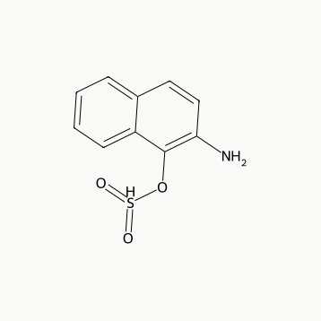 Nc1ccc2ccccc2c1O[SH](=O)=O